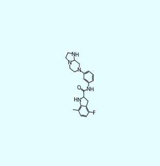 Cc1ccc(F)c2c1NC(C(=O)Nc1cccc(N3CCN4CCNC4C3)c1)C2